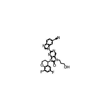 N#Cc1ccc2ncn(-c3ncc4c(n3)n(C3CCOc5c(F)cc(F)cc53)c(=O)n4CCCO)c2c1